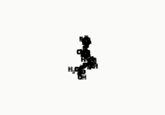 CN(CCOc1n[nH]c2ncnc(Nc3ccc(OCc4cccc(F)c4)c(Cl)c3)c12)C(=O)CO